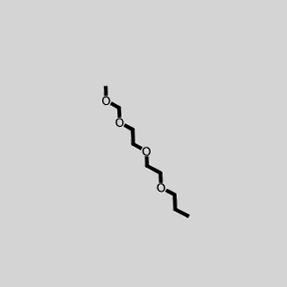 CCCOCCOCCOCOC